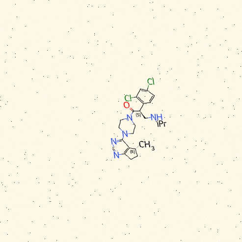 CC(C)NC[C@@H](C(=O)N1CCN(c2ncnc3c2[C@H](C)CC3)CC1)c1ccc(Cl)cc1Cl